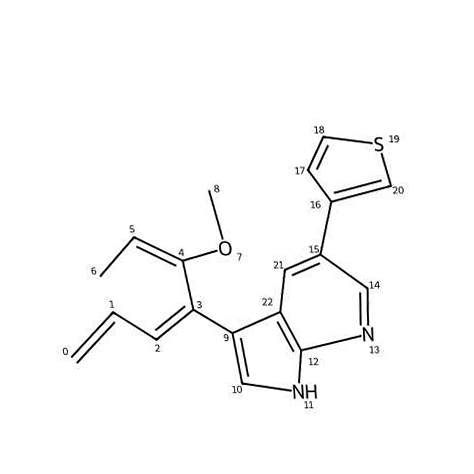 C=C/C=C(\C(=C/C)OC)c1c[nH]c2ncc(-c3ccsc3)cc12